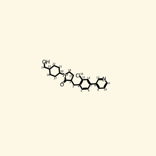 O=C1C(Cc2ccc(-c3cccnc3)cc2Cl)CCN1C1CCC(CO)CC1